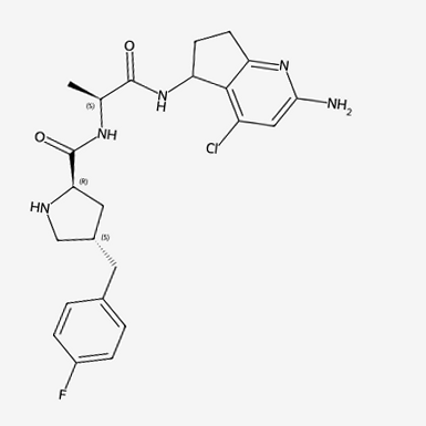 C[C@H](NC(=O)[C@H]1C[C@H](Cc2ccc(F)cc2)CN1)C(=O)NC1CCc2nc(N)cc(Cl)c21